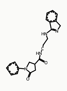 O=C(NCCCNC1=NCc2ccccc21)C1CC(=O)N(c2ccccc2)C1